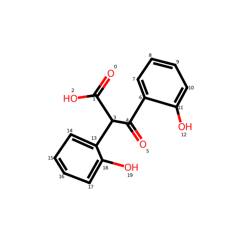 O=C(O)C(C(=O)c1ccccc1O)c1ccccc1O